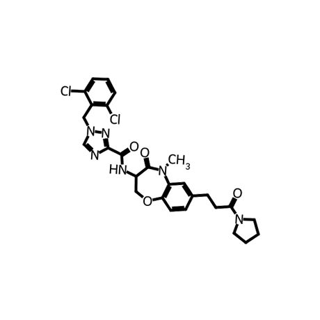 CN1C(=O)C(NC(=O)c2ncn(Cc3c(Cl)cccc3Cl)n2)COc2ccc(CCC(=O)N3CCCC3)cc21